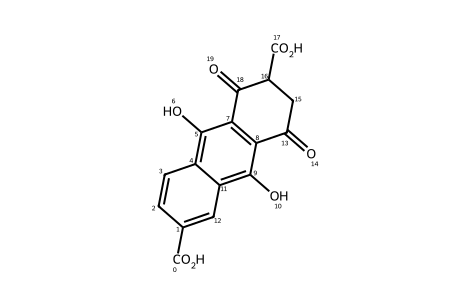 O=C(O)c1ccc2c(O)c3c(c(O)c2c1)C(=O)CC(C(=O)O)C3=O